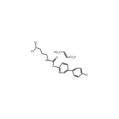 CCN(CC)CCCNC(=O)Oc1ccc(-c2ccc(Cl)cc2)cn1.O=C(O)/C=C/C(=O)O